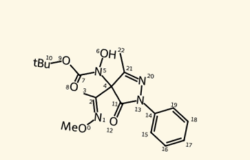 CON=C(C)C1(N(O)C(=O)OC(C)(C)C)C(=O)N(c2ccccc2)N=C1C